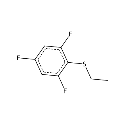 CCSc1c(F)cc(F)cc1F